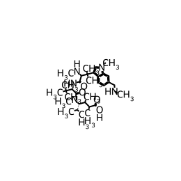 CNCc1ccc2c(C(C)(C)C(NC)C(=O)N[C@H](C(=O)N(C)[C@@H](C(C)C)C(C)C(C)C(=O)O)C(C)(C)C)cn(C)c2c1